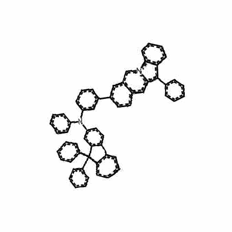 c1ccc(-c2c3ccccc3n3cc4cc(-c5cccc(N(c6ccccc6)c6ccc7c(c6)C(c6ccccc6)(c6ccccc6)c6ccccc6-7)c5)ccc4cc23)cc1